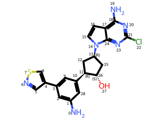 Nc1cc(-c2cnsc2)cc([C@H]2C[C@@H](n3ccc4c(N)nc(Cl)nc43)C[C@@H]2O)c1